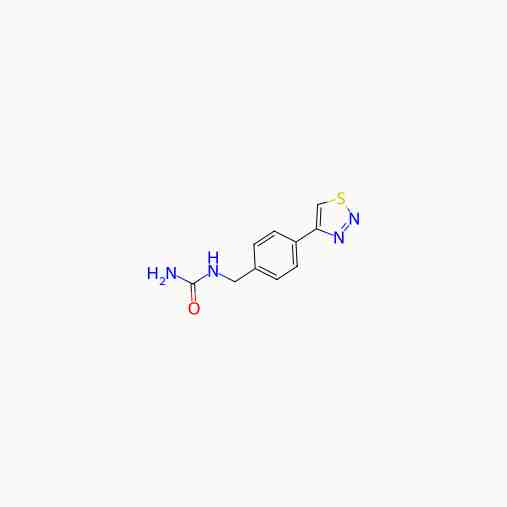 NC(=O)NCc1ccc(-c2csnn2)cc1